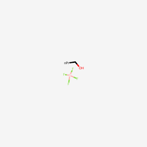 F[B-](F)(F)F.[CH2]CCCO